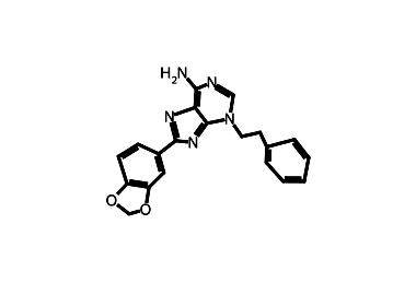 Nc1ncn(CCc2ccccc2)c2nc(-c3ccc4c(c3)OCO4)nc1-2